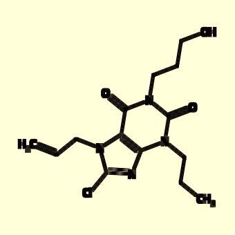 C=CCn1c(Cl)nc2c1c(=O)n(CCCO)c(=O)n2CCC